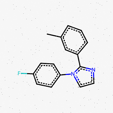 Cc1cccc(-c2nc[c]n2-c2ccc(F)cc2)c1